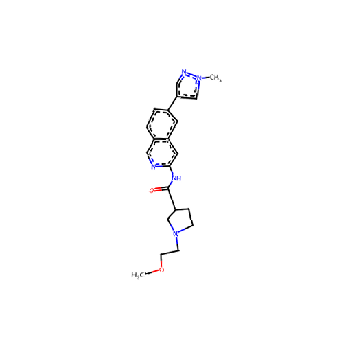 COCCN1CCC(C(=O)Nc2cc3cc(-c4cnn(C)c4)ccc3cn2)C1